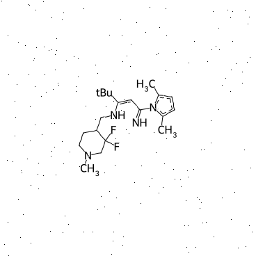 Cc1ccc(C)n1C(=N)/C=C(\NCC1CCN(C)CC1(F)F)C(C)(C)C